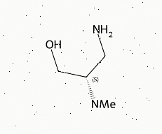 CN[C@@H](CN)CO